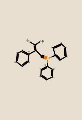 N#CC(C#N)=C(C#P(c1ccccc1)c1ccccc1)c1ccccc1